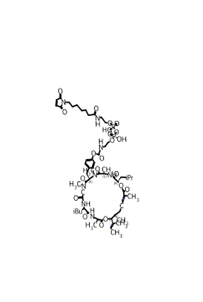 C/C=C(\C)[C@H]1OC(=O)[C@@H](C)NC(=O)C(C(C)CC)NC(=O)CN(C)C(=O)[C@@H](Cc2ccc(OC(=O)NCCOP(=O)(O)OP(=O)(O)OCCNC(=O)CCCCCCN3C(=O)C=CC3=O)cc2)N(C)C(=O)[C@H](C)NC(=O)[C@@H](CC(C)C)OC(=O)/C(C)=C/CC[C@@H]1C